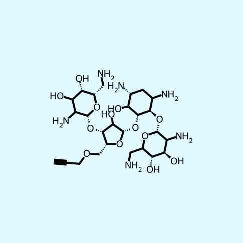 C#CCOC[C@H]1O[C@@H](O[C@@H]2C(O)[C@H](N)CC(N)[C@H]2O[C@H]2OC(CN)[C@@H](O)[C@H](O)C2N)C(O)[C@H]1O[C@H]1O[C@@H](CN)[C@@H](O)C(O)C1N